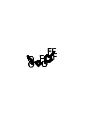 CCOC(=O)[C@H]1C[C@@H](Oc2ccc(C(F)(F)F)cc2F)C1